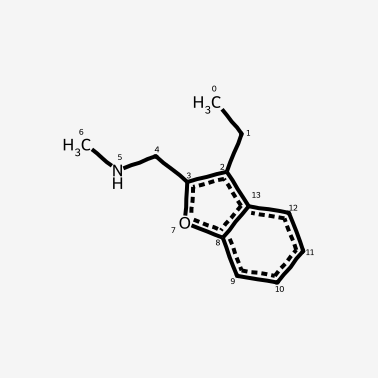 CCc1c(CNC)oc2ccccc12